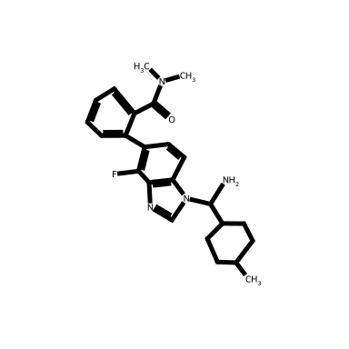 CC1CCC(C(N)n2cnc3c(F)c(-c4ccccc4C(=O)N(C)C)ccc32)CC1